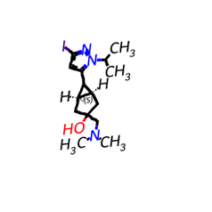 CC(C)n1nc(I)cc1C1[C@H]2CC(O)(CN(C)C)C[C@@H]12